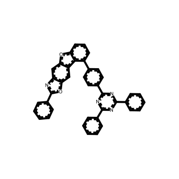 c1ccc(-c2nc(-c3ccccc3)nc(-c3ccc(-c4cccc5oc6cc7nc(-c8ccccc8)oc7cc6c45)cc3)n2)cc1